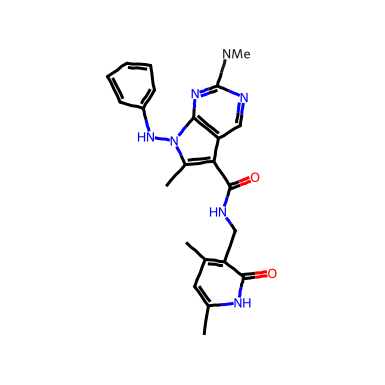 CNc1ncc2c(C(=O)NCc3c(C)cc(C)[nH]c3=O)c(C)n(Nc3ccccc3)c2n1